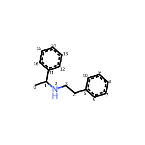 CC(NCCc1ccccc1)c1ccccc1